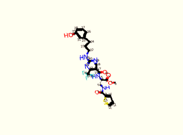 COC(=O)[C@H](CNC(=O)c1cccs1)NC(=O)c1cnc(NCCCc2cccc(O)c2)nc1C(F)(F)F